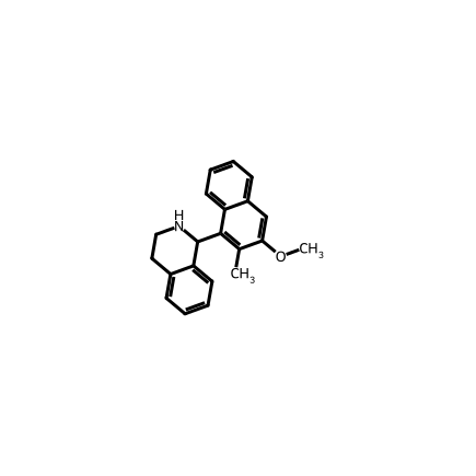 COc1cc2ccccc2c(C2NCCc3ccccc32)c1C